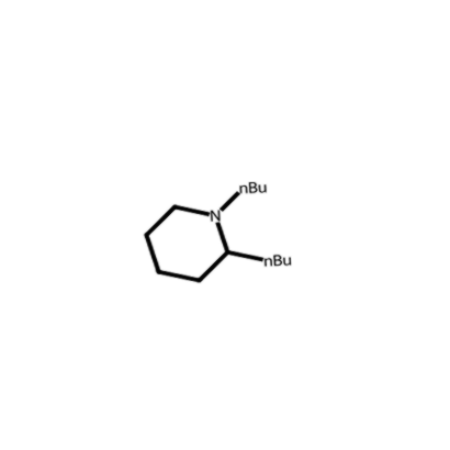 CCCCC1CCCCN1CCCC